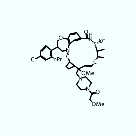 CCCc1cc(Cl)ccc1C1COc2ccc3cc2N(C1)CC1CCC1C(CN1CCN(C(=O)COC)CC1)(OC)/C=C/CC(C)C(C)[S+]([O-])NC3=O